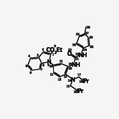 CCOC(=O)c1cc2ccccc2n1-c1ccc(N(CC(C)C)CC(C)C)c(NC(=O)Nc2ccc(C)cc2)c1